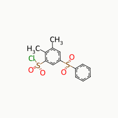 Cc1cc(S(=O)(=O)c2ccccc2)cc(S(=O)(=O)Cl)c1C